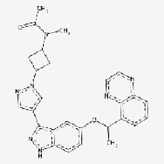 CC(=O)N(C)C1CC(n2cc(-c3n[nH]c4ccc(OC(C)c5cccc6nccnc56)cc34)cn2)C1